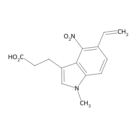 C=Cc1ccc2c(c(CCC(=O)O)cn2C)c1[N+](=O)[O-]